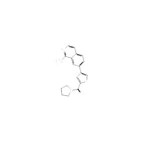 Nc1nccc2ccc(-c3csc(C(=O)N4CCCC4)c3)cc12